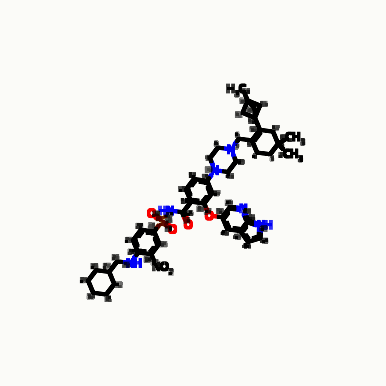 CC1(C)CCC(CN2CCN(c3ccc(C(=O)NS(=O)(=O)c4ccc(NCC5CCCCC5)c([N+](=O)[O-])c4)c(Oc4cnc5[nH]ccc5c4)c3)CC2)=C(C23CC(C)(C2)C3)C1